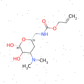 C=CCOC(=O)NC[C@@H]1CC(N(C)C)C(O)[C@H](O)O1